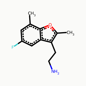 Cc1oc2c(C)cc(F)cc2c1CCN